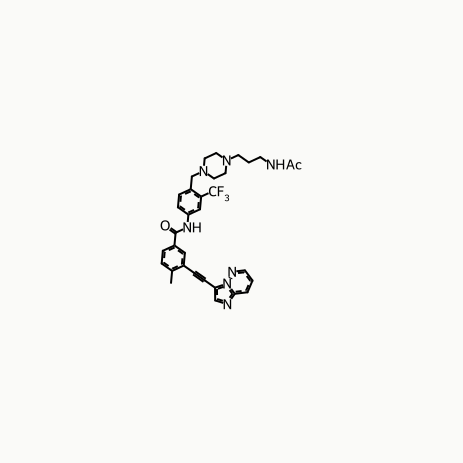 CC(=O)NCCCN1CCN(Cc2ccc(NC(=O)c3ccc(C)c(C#Cc4cnc5cccnn45)c3)cc2C(F)(F)F)CC1